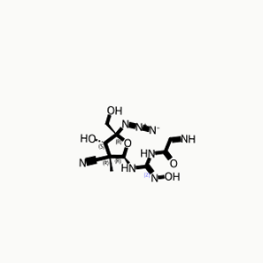 C[C@]1(C#N)[C@H](N/C(=N/O)NC(=O)C=N)O[C@@](CO)(N=[N+]=[N-])[C@H]1O